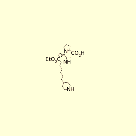 CCOC(=O)C(CCCCCC1CCNCC1)N[C@@H](C)C(=O)N1CCCC1C(=O)O